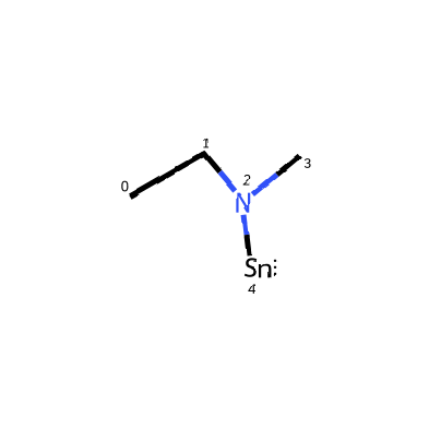 CC[N](C)[Sn]